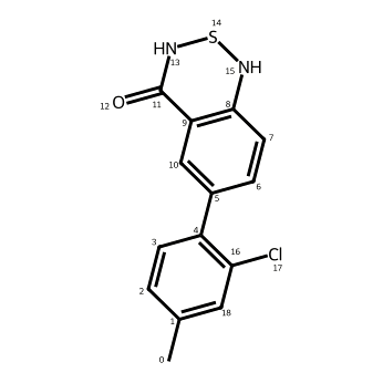 Cc1ccc(-c2ccc3c(c2)C(=O)NSN3)c(Cl)c1